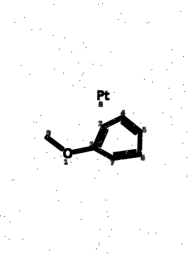 COc1c[c]ccc1.[Pt]